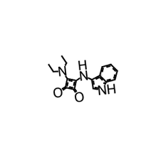 CCN(CC)c1c(Nc2c[nH]c3ccccc23)c(=O)c1=O